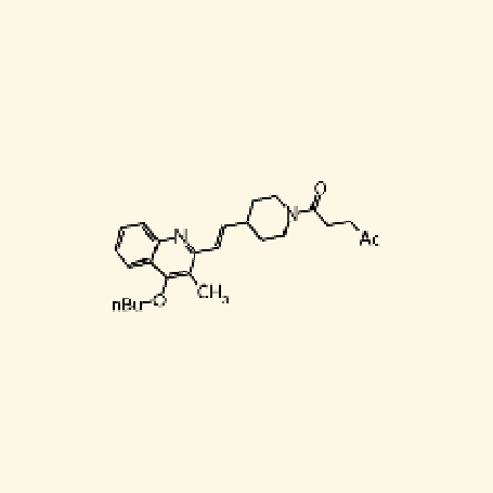 CCCCOc1c(C)c(/C=C/C2CCN(C(=O)CCC(C)=O)CC2)nc2ccccc12